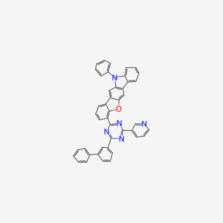 c1ccc(-c2cccc(-c3nc(-c4cccnc4)nc(-c4cccc5c4oc4cc6c7ccccc7n(-c7ccccc7)c6cc45)n3)c2)cc1